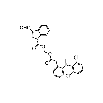 O=Cc1cn(C(=O)OCOC(=O)Cc2ccccc2Nc2c(Cl)cccc2Cl)c2ccccc12